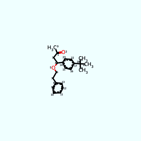 CC(=O)CC(OCCc1ccccc1)c1ccc(C(C)(C)C)cc1